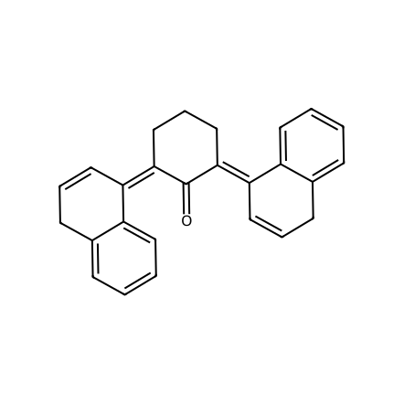 O=C1C(=C2C=CCc3ccccc32)CCCC1=C1C=CCc2ccccc21